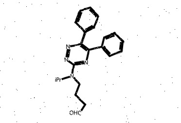 CC(C)N(CCCC=O)c1nnc(-c2ccccc2)c(-c2ccccc2)n1